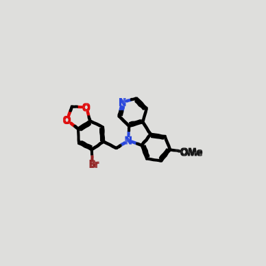 COc1ccc2c(c1)c1ccncc1n2Cc1cc2c(cc1Br)OCO2